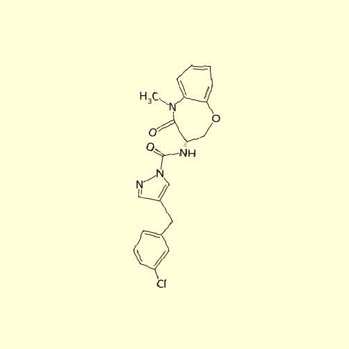 CN1C(=O)[C@@H](NC(=O)n2cc(Cc3cccc(Cl)c3)cn2)COc2ccccc21